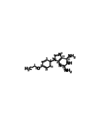 CCOc1ccc(-n2cnc3c2N=C(N)NC3N)cc1